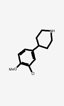 COc1ccc(C2CCNCC2)cc1Cl